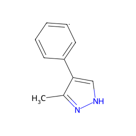 Cc1n[nH]cc1-c1c[c]ccc1